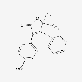 CC1(C)OC(=O)C(c2ccc(O)cc2)=C1c1ccccc1